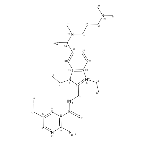 CCn1c(CNC(=O)c2nc(CI)cnc2N)[n+](CC)c2ccc(C(=O)N(C)CCCN(C)C)cc21